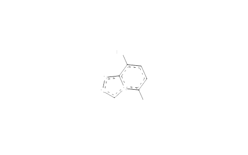 CC(C)(C)c1ccc(Cl)n2cnnc12